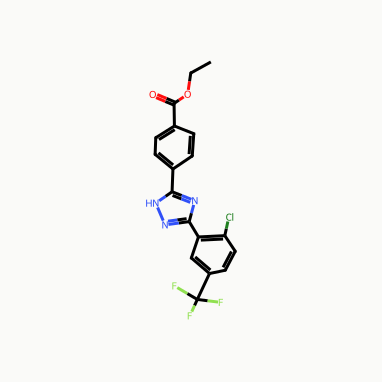 CCOC(=O)c1ccc(-c2nc(-c3cc(C(F)(F)F)ccc3Cl)n[nH]2)cc1